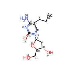 CC(=O)CCc1cn([C@H]2C[C@H](O)[C@@H](CO)O2)c(=O)nc1N